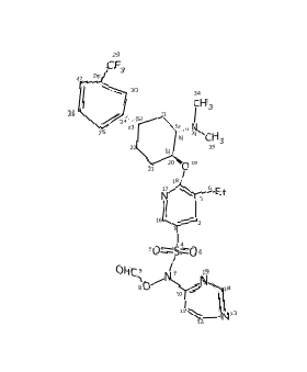 CCc1cc(S(=O)(=O)N(OC=O)c2ccncn2)cnc1O[C@H]1CC[C@H](c2cccc(C(F)(F)F)c2)C[C@@H]1N(C)C